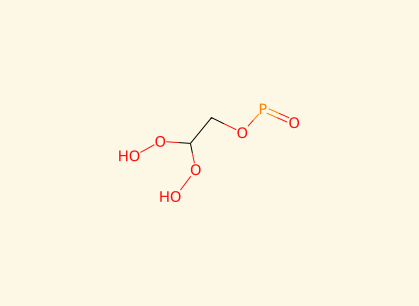 O=POCC(OO)OO